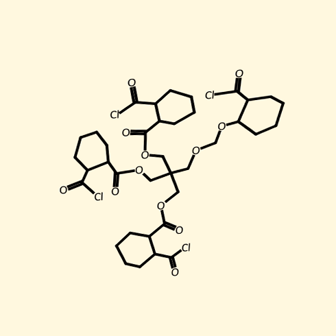 O=C(Cl)C1CCCCC1OCOCC(COC(=O)C1CCCCC1C(=O)Cl)(COC(=O)C1CCCCC1C(=O)Cl)COC(=O)C1CCCCC1C(=O)Cl